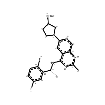 CC(=O)N[C@@H]1CCN(c2cc3c(N[C@H](C)c4cc(F)ccc4F)nc(C)nc3cn2)C1